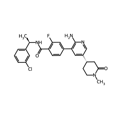 C[C@@H](NC(=O)c1ccc(-c2cc([C@H]3CCN(C)C(=O)C3)cnc2N)cc1F)c1cccc(Cl)c1